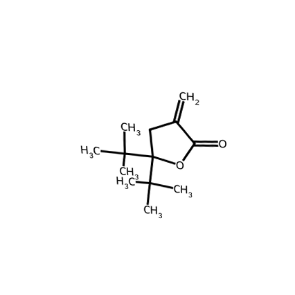 C=C1CC(C(C)(C)C)(C(C)(C)C)OC1=O